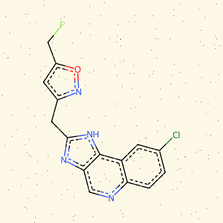 FCc1cc(Cc2nc3cnc4ccc(Cl)cc4c3[nH]2)no1